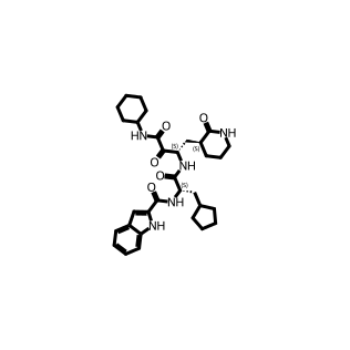 O=C(NC1CCCCC1)C(=O)[C@H](C[C@@H]1CCCNC1=O)NC(=O)[C@H](CC1CCCC1)NC(=O)c1cc2ccccc2[nH]1